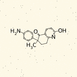 CC1(c2ccc(N)cc2)CCc2nc(O)ccc2C1=O